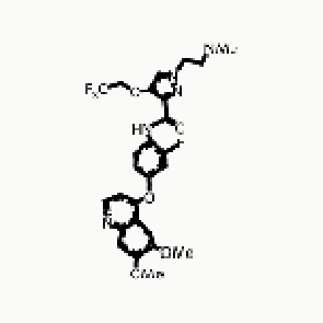 CNCCn1cc(OCC(F)(F)F)c(C(=O)Nc2ccc(Oc3ccnc4cc(OC)c(OC)cc34)cc2F)n1